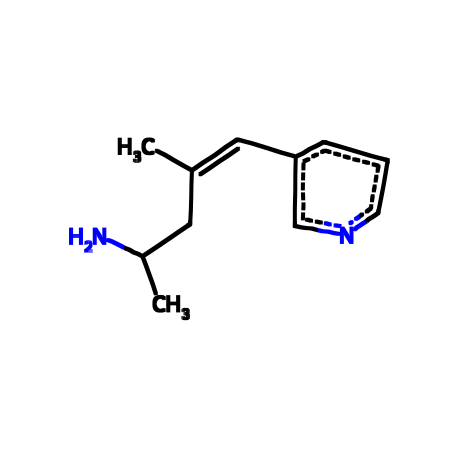 C/C(=C/c1cccnc1)CC(C)N